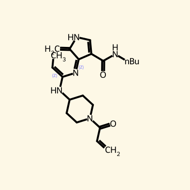 C=CC(=O)N1CCC(NC(=C/C)/N=C2\C(=C)NC=C2C(=O)NCCCC)CC1